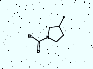 CCC(=O)N1CCC(F)C1